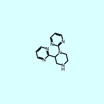 c1cnc(C2CNCCN2c2ncccn2)nc1